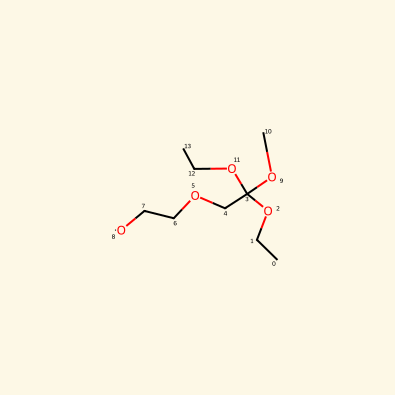 CCOC(COCC[O])(OC)OCC